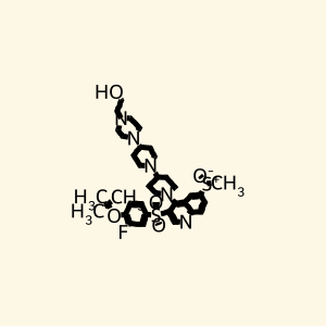 C[S+]([O-])c1ccc2ncc(S(=O)(=O)c3ccc(OC(C)(C)C)c(F)c3)c(N3CCC(N4CCC(N5CCN(CCO)CC5)CC4)CC3)c2c1